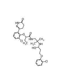 CCC(Oc1c(Cl)cccc1C1=NNC(=O)CC1)C(=O)NCC(C)(C)NC(O)CCOc1ccccc1Cl